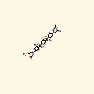 C=CCN(CC1CO1)c1ccc(C(C)(C)c2ccc(C(C)(C)c3ccc(N(CC=C)CC4CO4)cc3)cc2)cc1